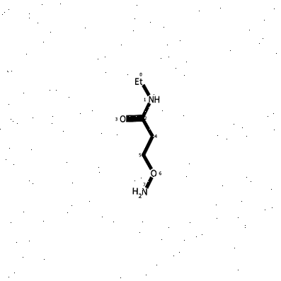 CCNC(=O)CCON